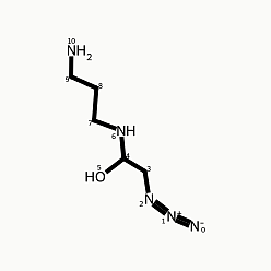 [N-]=[N+]=NCC(O)NCCCN